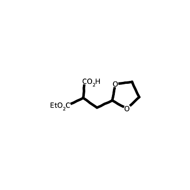 CCOC(=O)C(CC1OCCO1)C(=O)O